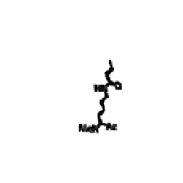 C/C=C/C(=O)NCCCCC(NC)C(C)=O